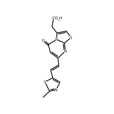 Cc1ncc(/C=C/c2cc(=O)n3c(CC(=O)O)csc3n2)s1